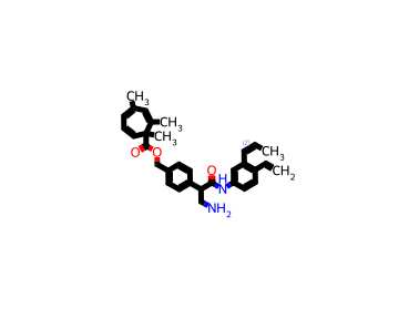 C=Cc1ccc(NC(=O)C(CN)c2ccc(COC(=O)C3(C)C=CC=C(C)C=C3C)cc2)cc1/C=C\C